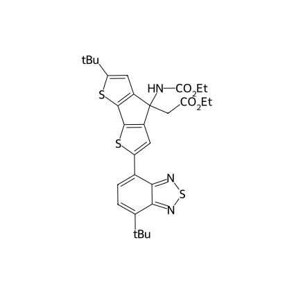 CCOC(=O)CC1(NC(=O)OCC)c2cc(-c3ccc(C(C)(C)C)c4nsnc34)sc2-c2sc(C(C)(C)C)cc21